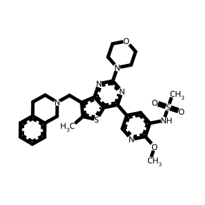 COc1ncc(-c2nc(N3CCOCC3)nc3c(CN4CCc5ccccc5C4)c(C)sc23)cc1NS(C)(=O)=O